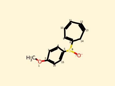 COc1ccc([S+]([O-])C2=CC=CC#CC2)cc1